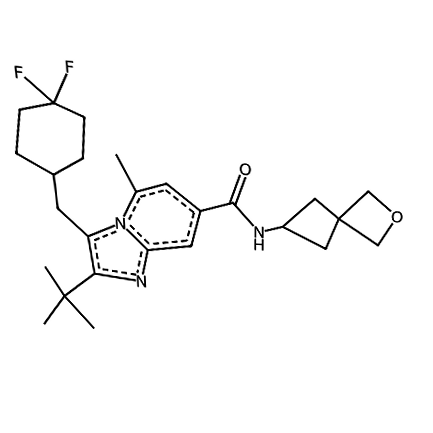 Cc1cc(C(=O)NC2CC3(COC3)C2)cc2nc(C(C)(C)C)c(CC3CCC(F)(F)CC3)n12